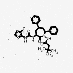 Cc1ccsc1NC(=O)NC1CC(c2ccccc2)CC(c2ccccc2)N(NC(=O)CC(C)(C)C)C1=O